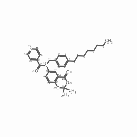 CCCCCCCCc1ccc(CN(C(=O)c2ccncc2)c2ccc3c(c2)C(=O)OC(C)(C)O3)cc1